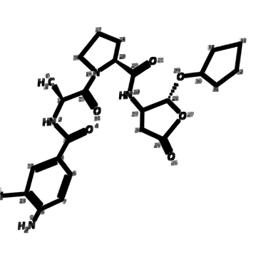 C[C@H](NC(=O)c1ccc(N)c(Cl)c1)C(=O)N1CCC[C@H]1C(=O)NC1CC(=O)O[C@H]1OC1CCCC1